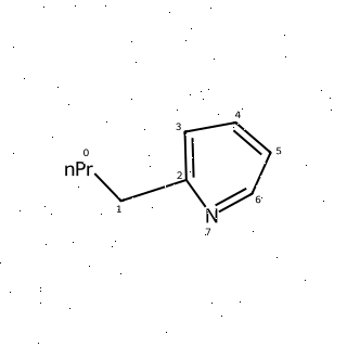 CCCCc1ccccn1